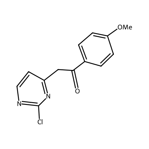 COc1ccc(C(=O)Cc2ccnc(Cl)n2)cc1